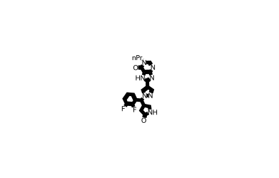 CCCn1cnc2nc(-c3cnn(C(c4cccc(F)c4F)C4CNC(=O)C4)c3)[nH]c2c1=O